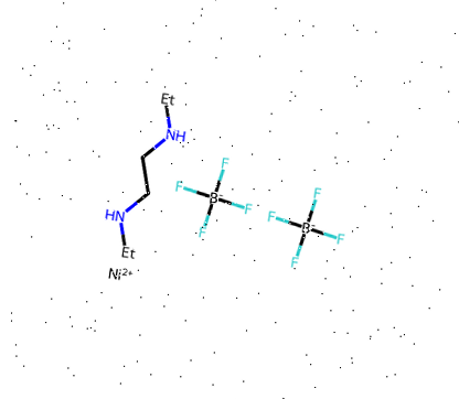 CCNCCNCC.F[B-](F)(F)F.F[B-](F)(F)F.[Ni+2]